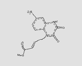 COC(=O)C=CCn1c(=O)c(=O)[nH]c2cc([N+](=O)[O-])ccc21